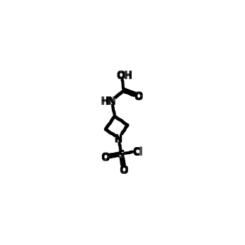 O=C(O)NC1CN(S(=O)(=O)Cl)C1